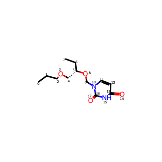 CCCOC[C@H](CC)OCn1ccc(=O)[nH]c1=O